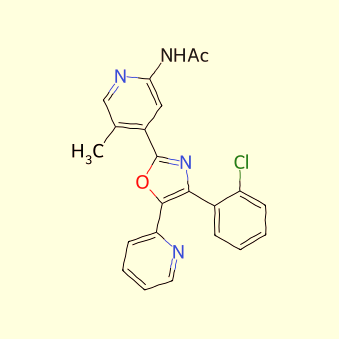 CC(=O)Nc1cc(-c2nc(-c3ccccc3Cl)c(-c3ccccn3)o2)c(C)cn1